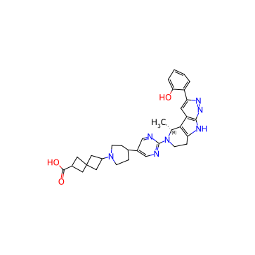 C[C@@H]1c2c([nH]c3nnc(-c4ccccc4O)cc23)CCN1c1ncc(C2CCN(C3CC4(CC(C(=O)O)C4)C3)CC2)cn1